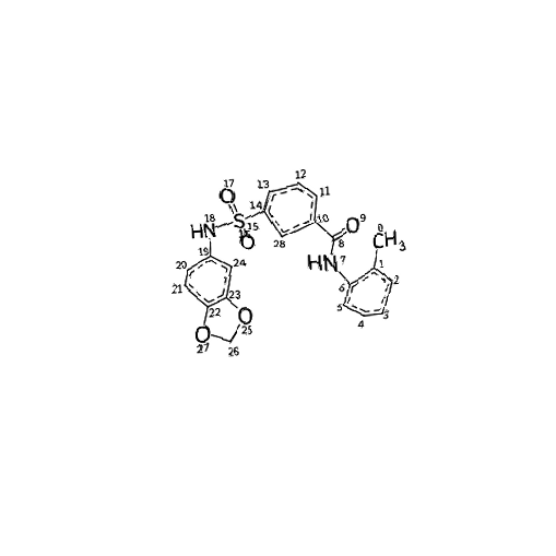 Cc1ccccc1NC(=O)c1cccc(S(=O)(=O)Nc2ccc3c(c2)OCO3)c1